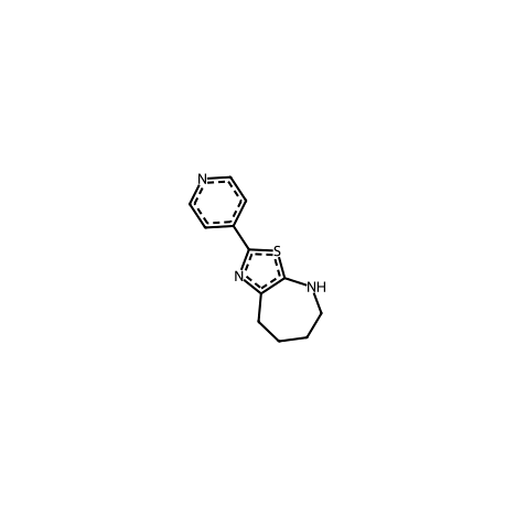 c1cc(-c2nc3c(s2)NCCCC3)ccn1